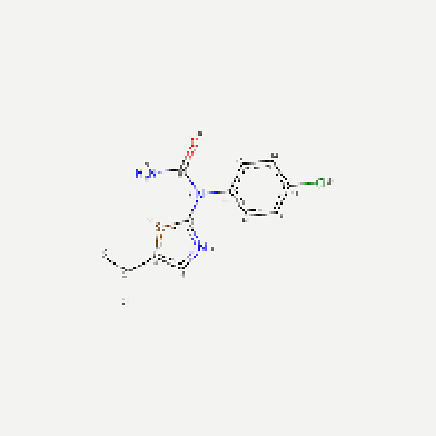 CC(C)c1cnc(N(C(N)=O)c2ccc(Cl)cc2)s1